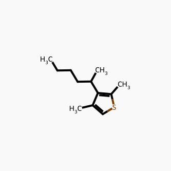 CCCCC(C)c1c(C)csc1C